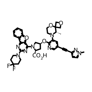 C[C@@H]1N(c2cc(C#Cc3ccn(C)n3)cnc2O[C@H]2C[C@@H](C(=O)O)N(c3nc(N4CCC(F)(F)CC4)nc4c3oc3ccccc34)C2)CCOC12COC2